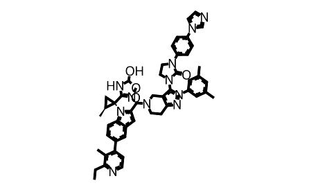 CCc1nccc(-c2ccc3c(c2)cc(C(=O)N2CCc4nn(-c5cc(C)cc(C)c5)c(N5CCN(c6ccc(-n7ccnc7)cc6)C5=O)c4C2)n3[C@@]2(C3=NOC(O)N3)C[C@@H]2C)c1C